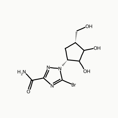 NC(=O)c1nc(Br)n([C@@H]2C[C@H](CO)C(O)C2O)n1